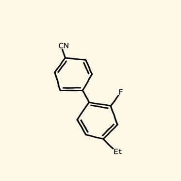 CCc1ccc(-c2ccc(C#N)cc2)c(F)c1